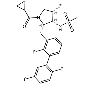 CS(=O)(=O)N[C@H]1[C@@H](F)CN(C(=O)C2CC2)[C@H]1Cc1cccc(-c2cc(F)ccc2F)c1F